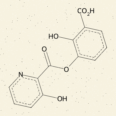 O=C(O)c1cccc(OC(=O)c2ncccc2O)c1O